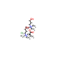 C=CC(=O)[O-].C[N+](C)(C)CCCO.C[N+](C)(C)CCCO.[Cl-]